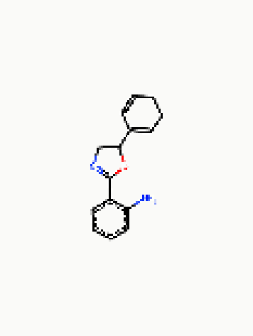 Nc1ccccc1C1=NCC(C2=CCCC=C2)O1